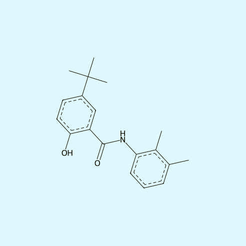 Cc1cccc(NC(=O)c2cc(C(C)(C)C)ccc2O)c1C